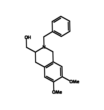 COc1cc2c(cc1OC)CN(Cc1ccccc1)C(CO)C2